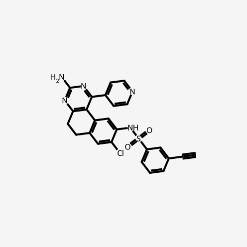 C#Cc1cccc(S(=O)(=O)Nc2cc3c(cc2Cl)CCc2nc(N)nc(-c4ccncc4)c2-3)c1